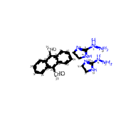 NNC1=NCCN1.NNC1=NCCN1.O=Cc1c2ccccc2c(C=O)c2ccccc12